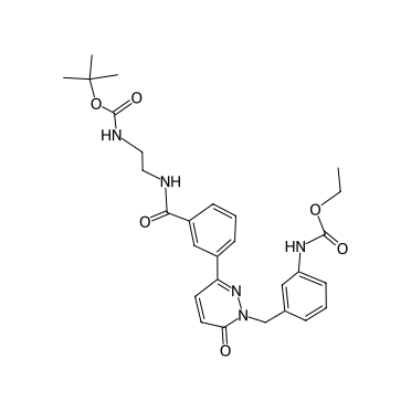 CCOC(=O)Nc1cccc(Cn2nc(-c3cccc(C(=O)NCCNC(=O)OC(C)(C)C)c3)ccc2=O)c1